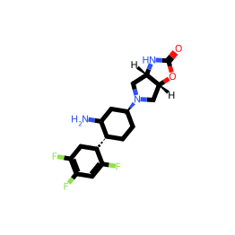 NC1C[C@@H](N2C[C@@H]3NC(=O)O[C@@H]3C2)CC[C@@H]1C1CC(F)=C(F)C=C1F